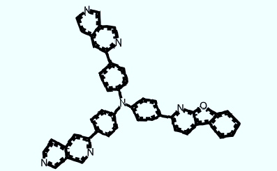 c1ccc2c(c1)oc1nc(-c3ccc(N(c4ccc(-c5cc6ccncc6cn5)cc4)c4ccc(-c5cc6ccncc6cn5)cc4)cc3)ccc12